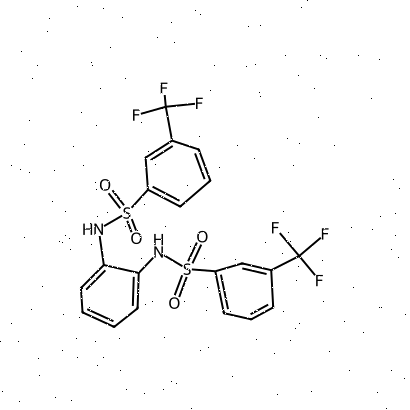 O=S(=O)(Nc1ccccc1NS(=O)(=O)c1cccc(C(F)(F)F)c1)c1cccc(C(F)(F)F)c1